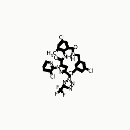 Cc1cc(Cl)cc(C(=O)NCc2cc(Cl)cc(Cl)c2)c1NC(=O)c1cc(Cn2nnc(C(F)(F)F)n2)nn1-c1ncccc1Cl